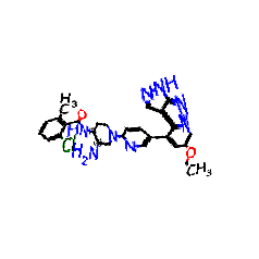 CCOc1cc(-c2ccc(N3CC[C@H](NC(=O)c4c(C)cccc4Cl)[C@@H](N)C3)nc2)c2c3cn[nH]c3nn2c1